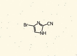 N#Cc1nc(Br)c[nH]1